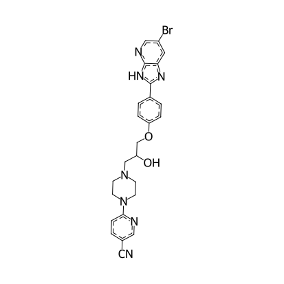 N#Cc1ccc(N2CCN(CC(O)COc3ccc(-c4nc5cc(Br)cnc5[nH]4)cc3)CC2)nc1